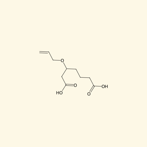 C=CCOC(CCCC(=O)O)CC(=O)O